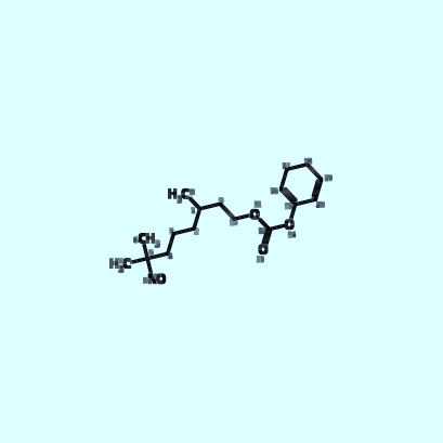 CC(CCCC(C)(C)N=O)CCOC(=O)OC1=CCCC=C1